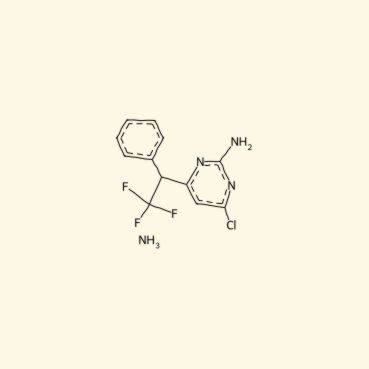 N.Nc1nc(Cl)cc(C(c2ccccc2)C(F)(F)F)n1